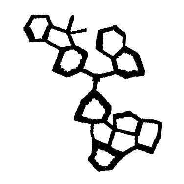 CC1(C)C2=C(C=CCC2)c2ccc(N(c3ccc4c(c3)C35C6=C(CCC=C6c6cccc-4c63)c3ccccc35)c3cccc4c3C=CCC4)cc21